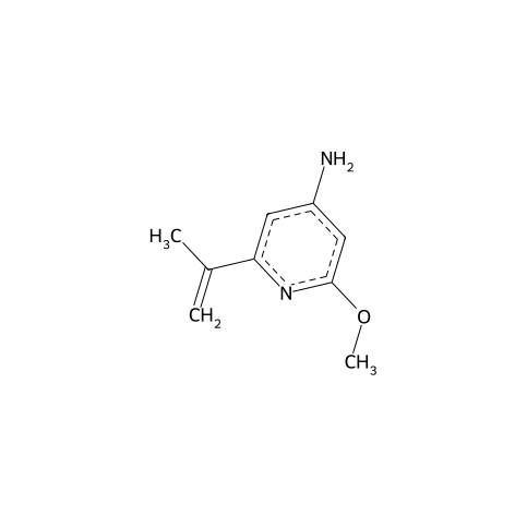 C=C(C)c1cc(N)cc(OC)n1